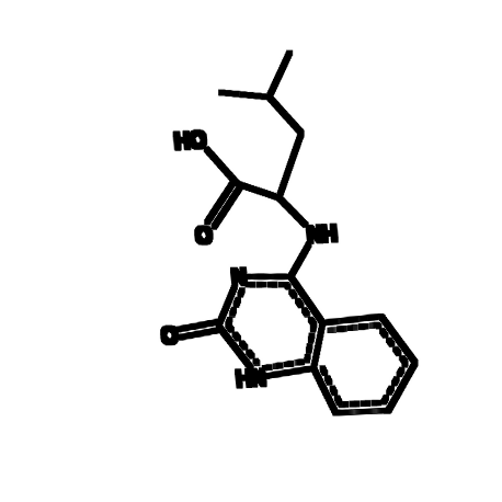 CC(C)CC(Nc1nc(=O)[nH]c2ccccc12)C(=O)O